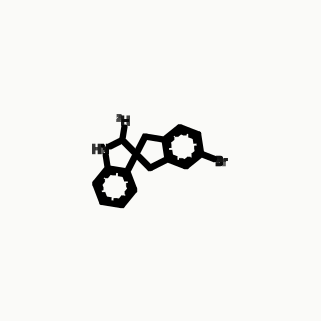 [2H]C1Nc2ccccc2C12Cc1ccc(Br)cc1C2